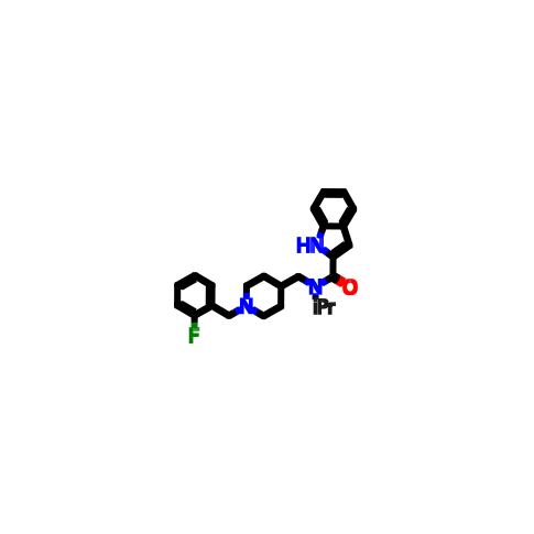 CC(C)N(CC1CCN(Cc2ccccc2F)CC1)C(=O)c1cc2ccccc2[nH]1